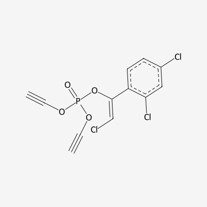 C#COP(=O)(OC#C)O/C(=C\Cl)c1ccc(Cl)cc1Cl